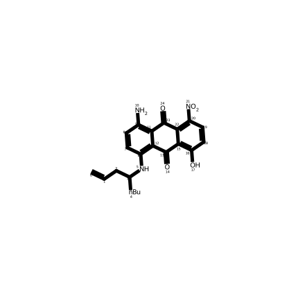 C=CCC(CCCC)Nc1ccc(N)c2c1C(=O)c1c(O)ccc([N+](=O)[O-])c1C2=O